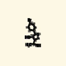 CC(=N)c1csc(-c2ccc(Br)cc2)c1O